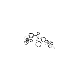 CS(=O)(=O)Nc1ccc2c(c1)C1(CCCCC1)CN2C(=O)c1cccc(S(=O)(=O)N2CCC2)c1